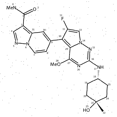 CNC(=O)c1cnn2ccc(-c3c(F)cn4nc(N[C@H]5CC[C@@](C)(O)CC5)nc(OC)c34)cc12